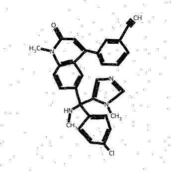 C#Cc1cccc(-c2cc(=O)n(C)c3ccc(C(NC)(c4ccc(Cl)cc4)c4cncn4C)cc23)c1